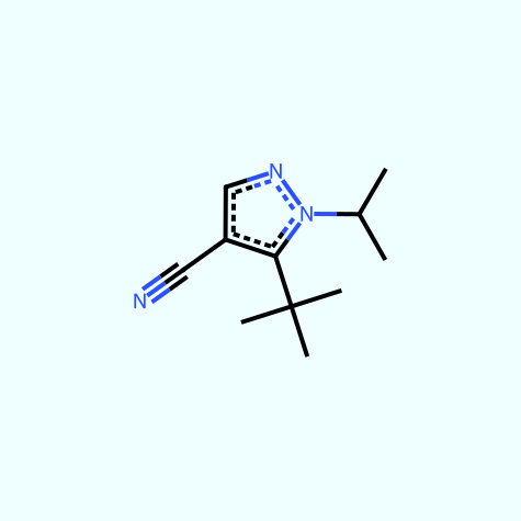 CC(C)n1ncc(C#N)c1C(C)(C)C